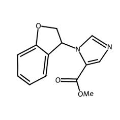 COC(=O)c1cncn1C1COc2ccccc21